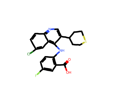 O=C(O)c1cc(F)ccc1Nc1c(C2CCSCC2)cnc2ccc(Cl)cc12